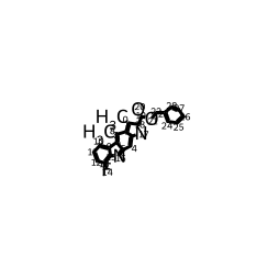 CC1=c2c(cc3c(c2C)-c2cccc(F)c2N=3)N=C1C(=O)OCc1ccccc1